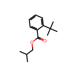 CC(C)COC(=O)c1ccccc1C(C)(C)C